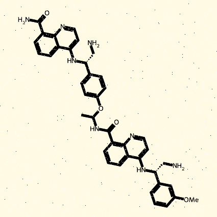 COc1cccc([C@@H](CN)Nc2ccnc3c(C(=O)NC(C)Oc4ccc([C@@H](CN)Nc5ccnc6c(C(N)=O)cccc56)cc4)cccc23)c1